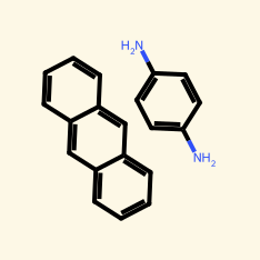 Nc1ccc(N)cc1.c1ccc2cc3ccccc3cc2c1